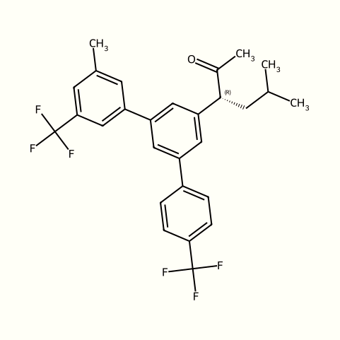 CC(=O)[C@H](CC(C)C)c1cc(-c2ccc(C(F)(F)F)cc2)cc(-c2cc(C)cc(C(F)(F)F)c2)c1